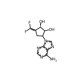 Nc1ncnc2c1ncn2C1CC(=C(F)F)[C@@H](O)C1O